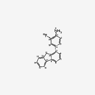 Nc1ccc(-c2cccc3c2Cc2ccccc2-3)cc1F